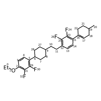 CCOc1ccc(C2CCC(CCc3ccc(C4=CCC(C)CC4)c(F)c3F)CC2)c(F)c1F